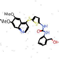 COc1cc2nccc(Sc3ccc(NC(=O)Nc4ccccc4CO)s3)c2cc1OC